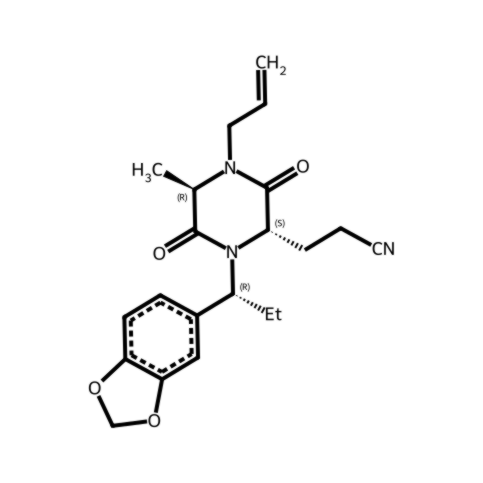 C=CCN1C(=O)[C@H](CCC#N)N([C@H](CC)c2ccc3c(c2)OCO3)C(=O)[C@H]1C